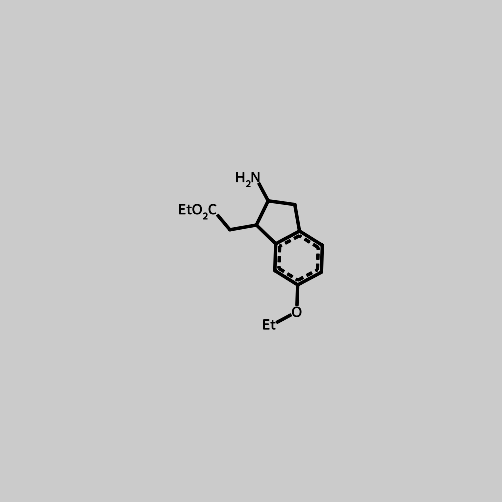 CCOC(=O)CC1c2cc(OCC)ccc2CC1N